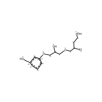 CCCCCCCCCCCCC(CC)COCC(O)COc1cccc(O)c1